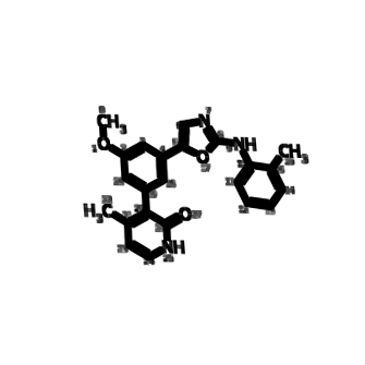 COc1cc(-c2cnc(Nc3ccccc3C)o2)cc(-c2c(C)cc[nH]c2=O)c1